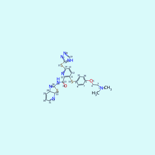 CN(C)CCOc1ccc(Sc2ccc(Sc3nnc[nH]3)nc2C(=O)NC2=NC3C=CC=NC3S2)cc1